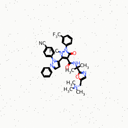 Cn1c(-c2ccnn2-c2ccc(C#N)cc2)c(C(=O)NC(C)(C)c2ncc(C[N+](C)(C)C)o2)c(=O)n1-c1cccc(C(F)(F)F)c1.c1ccccc1